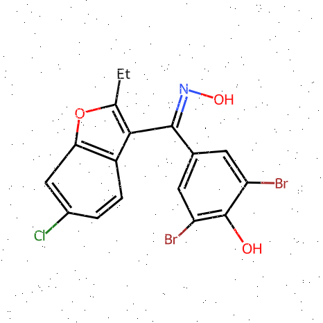 CCc1oc2cc(Cl)ccc2c1C(=NO)c1cc(Br)c(O)c(Br)c1